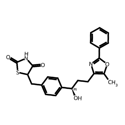 Cc1oc(-c2ccccc2)nc1CC[C@@H](O)c1ccc(CC2SC(=O)NC2=O)cc1